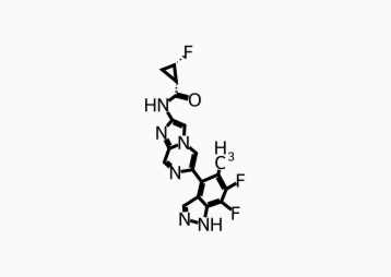 Cc1c(F)c(F)c2[nH]ncc2c1-c1cn2cc(NC(=O)[C@@H]3C[C@@H]3F)nc2cn1